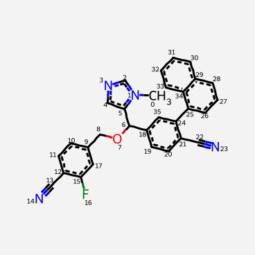 Cn1cncc1C(OCc1ccc(C#N)c(F)c1)c1ccc(C#N)c(-c2cccc3ccccc23)c1